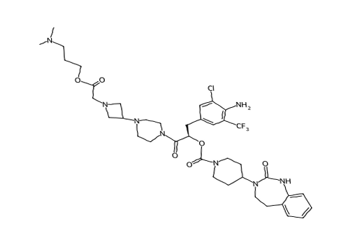 CN(C)CCCOC(=O)CN1CC(N2CCN(C(=O)[C@@H](Cc3cc(Cl)c(N)c(C(F)(F)F)c3)OC(=O)N3CCC(N4CCc5ccccc5NC4=O)CC3)CC2)C1